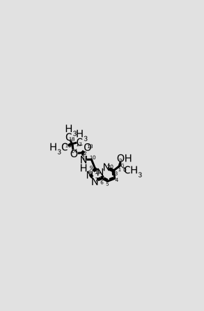 C[C@@H](O)c1ccc2nnc(CNC(=O)OC(C)(C)C)n2n1